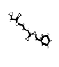 O=C(CCl)OCCCC(=O)OCc1ccccc1